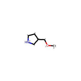 CCOCC1CCNC1